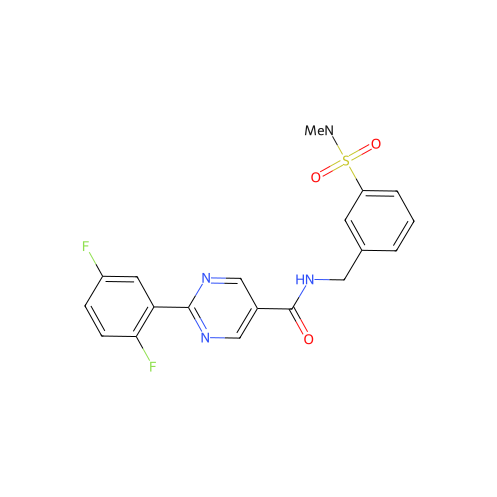 CNS(=O)(=O)c1cccc(CNC(=O)c2cnc(-c3cc(F)ccc3F)nc2)c1